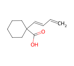 C=CC=CC1(C(=O)O)CCCCC1